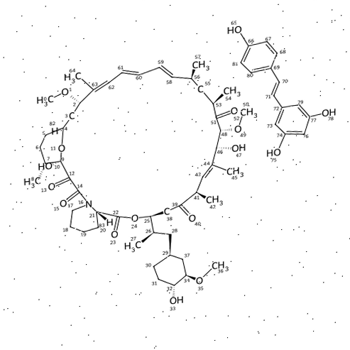 CO[C@H]1C[C@@H]2CC[C@@H](C)[C@@](O)(O2)C(=O)C(=O)N2CCCC[C@H]2C(=O)O[C@H]([C@H](C)C[C@@H]2CC[C@@H](O)[C@H](OC)C2)CC(=O)[C@H](C)/C=C(\C)[C@@H](O)[C@@H](OC)C(=O)[C@H](C)C[C@H](C)/C=C/C=C/C=C/1C.Oc1ccc(/C=C/c2cc(O)cc(O)c2)cc1